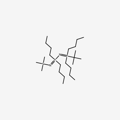 CCCCP(CCCC)(=N[Si](C)(C)C)N=P(CCCC)(CCCC)C(C)(C)C